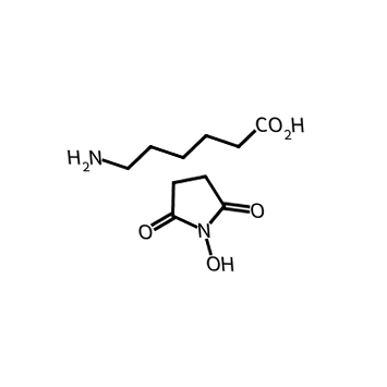 NCCCCCC(=O)O.O=C1CCC(=O)N1O